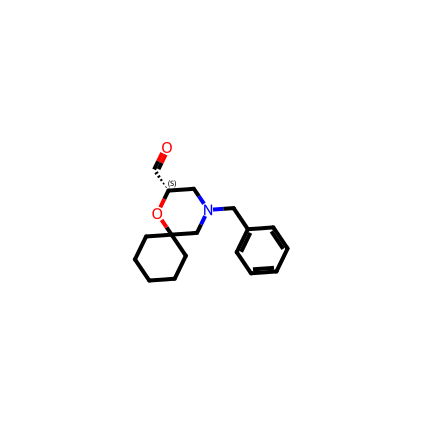 O=C[C@@H]1CN(Cc2ccccc2)CC2(CCCCC2)O1